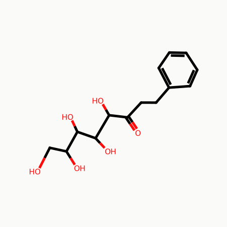 O=C(CCc1ccccc1)C(O)C(O)C(O)C(O)CO